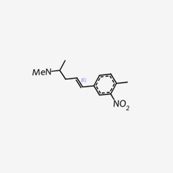 CNC(C)C/C=C/c1ccc(C)c([N+](=O)[O-])c1